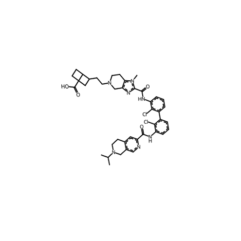 CC(C)N1CCc2cc(C(=O)Nc3cccc(-c4cccc(NC(=O)c5nc6c(n5C)CCN(CCC5CC7(C(=O)O)CCC57)C6)c4Cl)c3Cl)ncc2C1